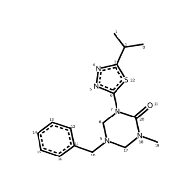 CC(C)c1nnc(N2CN(Cc3ccccc3)CN(C)C2=O)s1